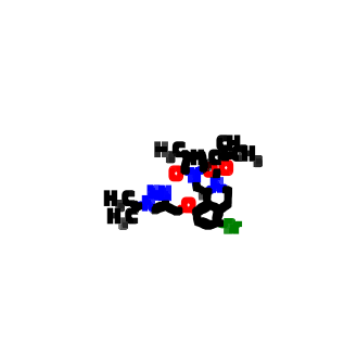 CC1CCN(C[C@@H]2c3c(OCc4cn(C(C)C)nn4)ccc(Br)c3CCN2C(=O)OC(C)(C)C)C1=O